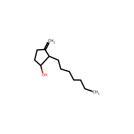 C=C1CCC(O)C1CCCCCCC